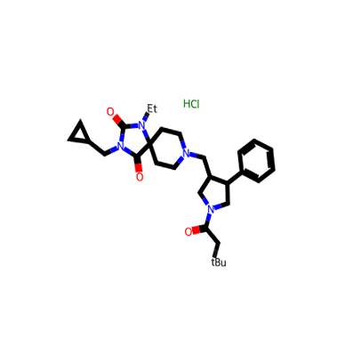 CCN1C(=O)N(CC2CC2)C(=O)C12CCN(CC1CN(C(=O)CC(C)(C)C)CC1c1ccccc1)CC2.Cl